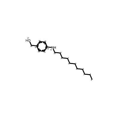 CCCCCCCCCCCNc1ccc(CO)cc1